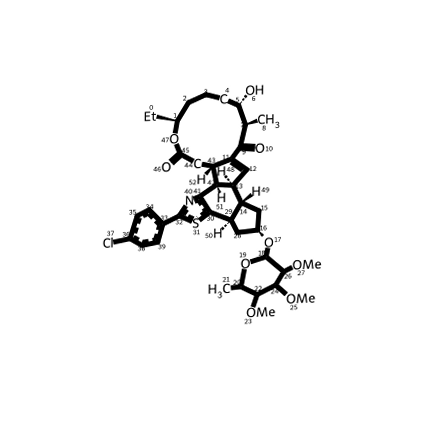 CC[C@H]1CCC[C@H](O)[C@@H](C)C(=O)C2=C[C@H]3[C@@H]4C[C@H](OC5OC(C)C(OC)C(OC)C5OC)C[C@H]4c4sc(-c5ccc(Cl)cc5)nc4[C@H]3[C@@H]2CC(=O)O1